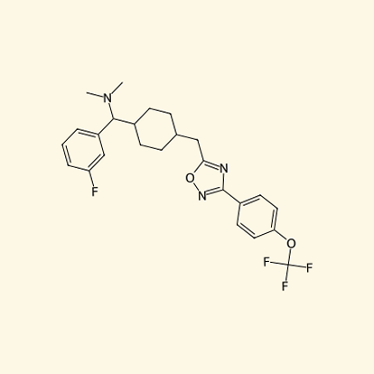 CN(C)C(c1cccc(F)c1)C1CCC(Cc2nc(-c3ccc(OC(F)(F)F)cc3)no2)CC1